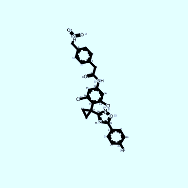 O=C(Cc1ccc(C[SH](=O)=O)cc1)Nc1cc(Cl)c(C2(c3noc(-c4ccc(F)cc4)n3)CC2)c(Cl)c1